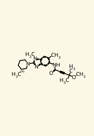 COC(C)(C)C#CC(=O)Nc1cc2nc(N3CCC[C@@H](C)C3)n(C)c2cc1C